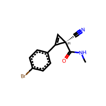 CNC(=O)[C@]1(C#N)C=C1c1ccc(Br)cc1